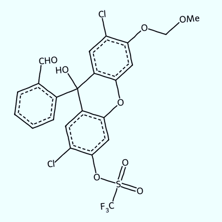 COCOc1cc2c(cc1Cl)C(O)(c1ccccc1C=O)c1cc(Cl)c(OS(=O)(=O)C(F)(F)F)cc1O2